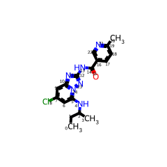 CCC(C)Nc1cc(Cl)cc2nc(NC(=O)c3ccc(C)nc3)nn12